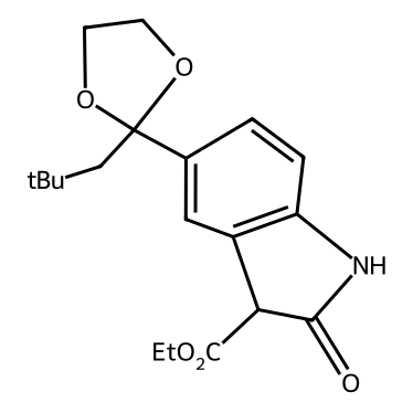 CCOC(=O)C1C(=O)Nc2ccc(C3(CC(C)(C)C)OCCO3)cc21